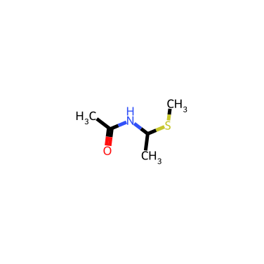 CSC(C)NC(C)=O